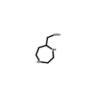 CNCC1CCNCCN1